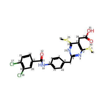 CSc1nc(Cc2ccc(NC(=O)c3ccc(Cl)c(Cl)c3)cc2)nc(SC)c1CC(=O)O